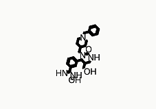 N=C(NO)c1cccc(C2C(CO)CNC(=O)N2CC2CCN(Cc3ccccc3)CC2)c1